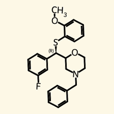 COc1ccccc1S[C@H](c1cccc(F)c1)C1CN(Cc2ccccc2)CCO1